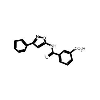 O=C(O)c1cccc(C(=O)Nc2cc(-c3ccccc3)no2)c1